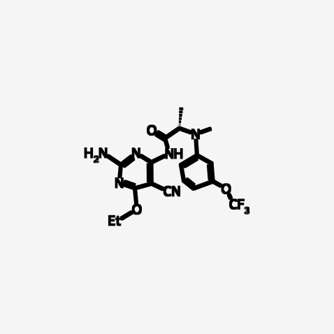 CCOc1nc(N)nc(NC(=O)[C@H](C)N(C)c2cccc(OC(F)(F)F)c2)c1C#N